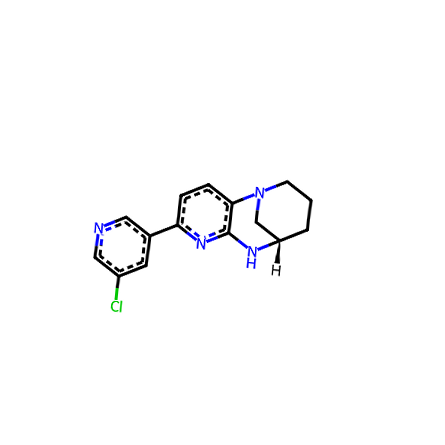 Clc1cncc(-c2ccc3c(n2)N[C@H]2CCCN3C2)c1